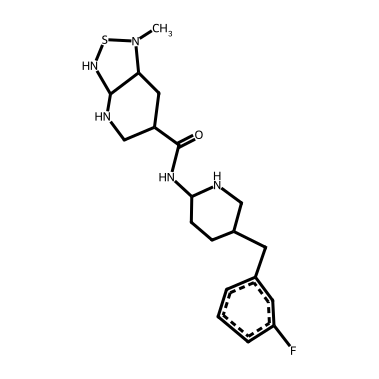 CN1SNC2NCC(C(=O)NC3CCC(Cc4cccc(F)c4)CN3)CC21